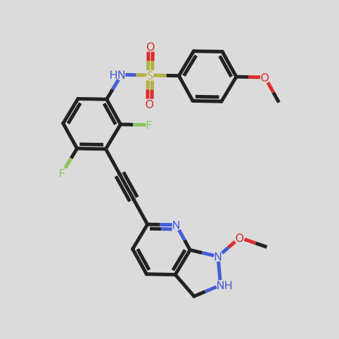 COc1ccc(S(=O)(=O)Nc2ccc(F)c(C#Cc3ccc4c(n3)N(OC)NC4)c2F)cc1